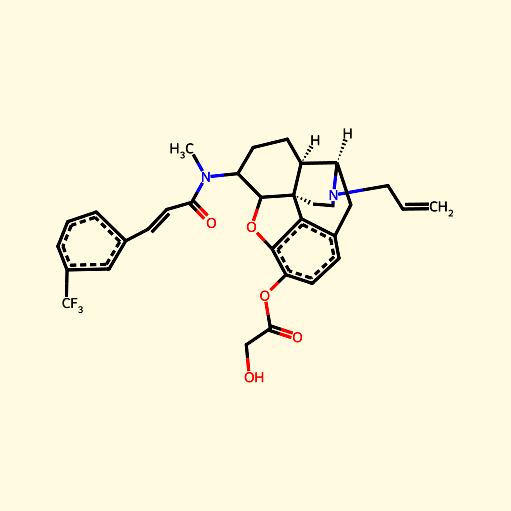 C=CCN1CC[C@]23c4c5ccc(OC(=O)CO)c4OC2C(N(C)C(=O)/C=C/c2cccc(C(F)(F)F)c2)CC[C@H]3[C@H]1C5